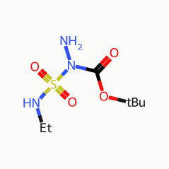 CCNS(=O)(=O)N(N)C(=O)OC(C)(C)C